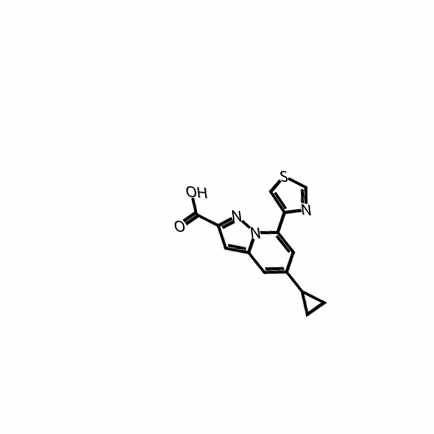 O=C(O)c1cc2cc(C3CC3)cc(-c3cscn3)n2n1